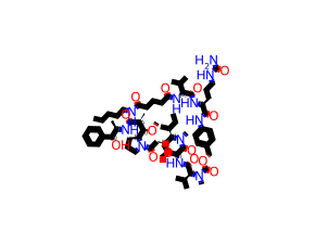 CCCCCNC(=O)CCCC(=O)N[C@H](C(=O)N[C@@H](CCCNC(N)=O)C(=O)Nc1ccc(COC(=O)N(C)[C@H](C(=O)N[C@H](C(=O)N(C)[C@@H](C(C)CC)[C@@H](CC(=O)N2CCC[C@H]2[C@H](OC)[C@@H](C)C(=O)N[C@H](C)[C@@H](O)c2ccccc2)OC)C(C)C)C(C)C)cc1)C(C)C